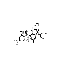 CCC(CC)Oc1cc(C)nc(Nc2c(NC)cc(NC)cc2NC)c1NC(=O)CCl